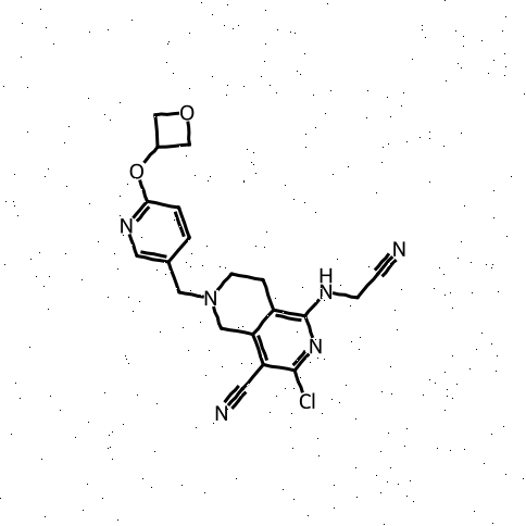 N#CCNc1nc(Cl)c(C#N)c2c1CCN(Cc1ccc(OC3COC3)nc1)C2